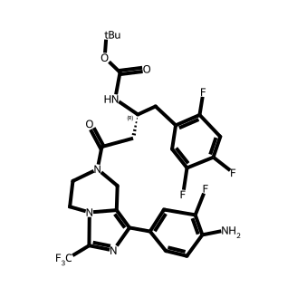 CC(C)(C)OC(=O)N[C@@H](CC(=O)N1CCn2c(C(F)(F)F)nc(-c3ccc(N)c(F)c3)c2C1)Cc1cc(F)c(F)cc1F